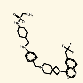 CCS(=O)(=O)NC1CCC(CNc2ccc(CN3CCC4(CC3)CN(c3ncnc5ccc(CC(F)(F)F)cc35)C4)cc2)CC1